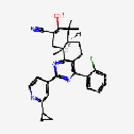 CC1(C)C(O)=C(C#N)C[C@@]2(C)c3nc(-c4ccnc(C5CC5)c4)nc(-c4ccccc4F)c3CC[C@H]12